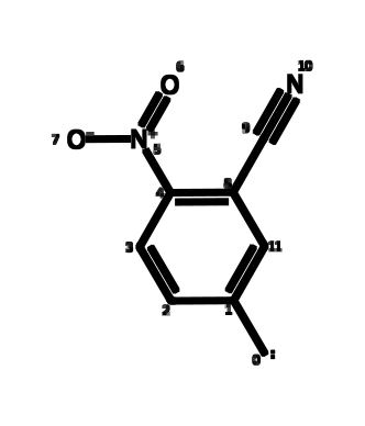 [CH]c1ccc([N+](=O)[O-])c(C#N)c1